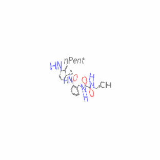 C#CCNC(=O)C(=O)NCc1ccccc1C(=O)NC1(C2=CC=CC(=N)/C2=C\CCCCC)CC1